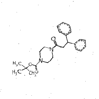 CC(C)(C)OC(=O)N1CCN(C(=O)CC(c2ccccc2)c2ccccc2)CC1